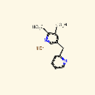 Br.O=C(O)c1cc(Cc2ccccn2)cnc1C(=O)O